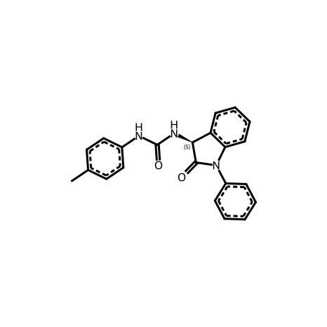 Cc1ccc(NC(=O)N[C@@H]2C(=O)N(c3ccccc3)c3ccccc32)cc1